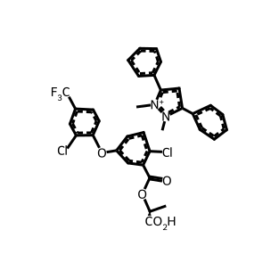 C[C@H](OC(=O)c1cc(Oc2ccc(C(F)(F)F)cc2Cl)ccc1Cl)C(=O)O.Cn1c(-c2ccccc2)cc(-c2ccccc2)[n+]1C